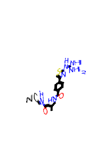 CC(CNC(=O)c1ccc(-c2csc(NC(=N)N)n2)cc1)CC(=O)NCC#N